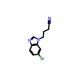 N#CCCCn1cnc2ccc(Br)cc21